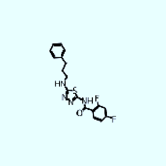 O=C(Nc1nnc(NCCCc2ccccc2)s1)c1ccc(F)cc1F